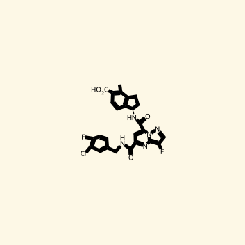 Cc1c(C(=O)O)ccc2c1CC[C@@H]2NC(=O)c1cc(C(=O)NCc2ccc(F)c(Cl)c2)nc2c(F)cnn12